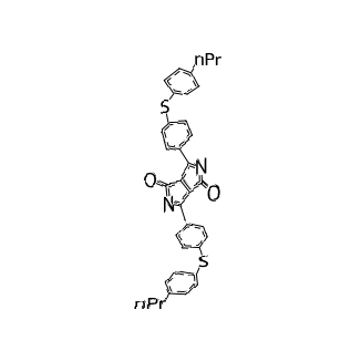 CCCc1ccc(Sc2ccc(-c3nc(=O)c4c(-c5ccc(Sc6ccc(CCC)cc6)cc5)nc(=O)c3=4)cc2)cc1